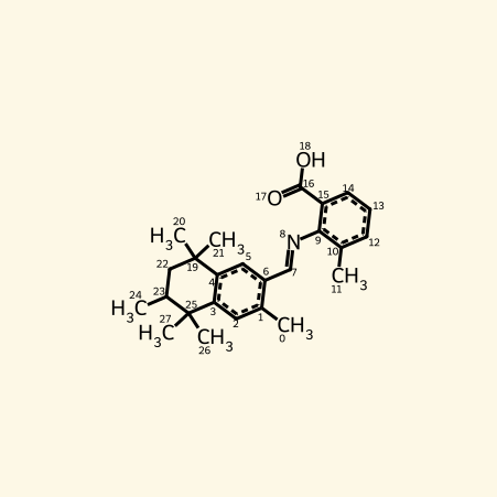 Cc1cc2c(cc1C=Nc1c(C)cccc1C(=O)O)C(C)(C)CC(C)C2(C)C